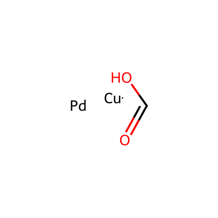 O=CO.[Cu].[Pd]